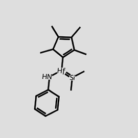 CC1=C(C)C(C)[C]([Hf]([NH]c2ccccc2)=[Si](C)C)=C1C